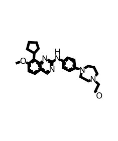 COc1ccc2cnc(Nc3ccc(N4CCCN(CC=O)CC4)cc3)nc2c1C1CCCC1